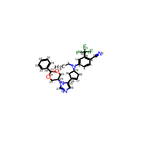 CCN(c1ccc(C#N)c(C(F)(F)F)c1)C1CC=C(c2cncn2C2COC(c3ccccc3)OC2)C1